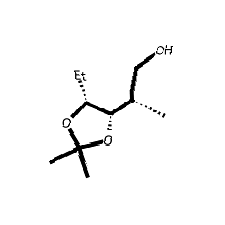 CC[C@H]1OC(C)(C)O[C@H]1[C@@H](C)CO